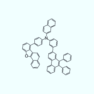 c1ccc(-c2c(-c3ccccc3)c3cc(-c4cccc(N(c5ccc(-c6cccc7oc8c9ccccc9ccc8c67)cc5)c5ccc6ccccc6c5)c4)ccc3c3ccccc23)cc1